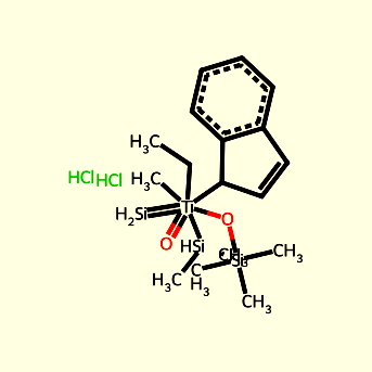 C[CH2][Ti]([CH3])(=[O])(=[SiH2])([O][Si](C)(C)C)([CH]1C=Cc2ccccc21)[SiH](C)C.Cl.Cl